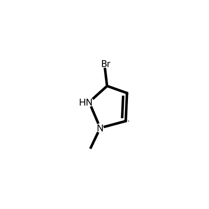 CN1[C]=CC(Br)N1